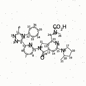 Cc1nnc(-c2cccc(N3Cc4c(cc(N5CCCC5C)nc4CN(C)C(=O)O)C3=O)n2)n1-c1ccccc1